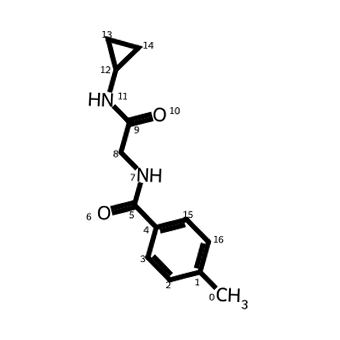 Cc1ccc(C(=O)NCC(=O)NC2CC2)cc1